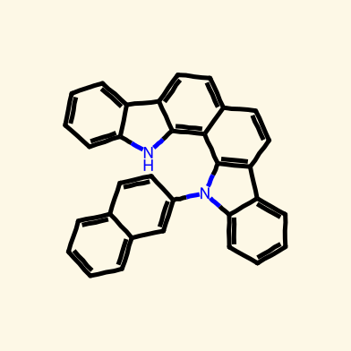 c1ccc2cc(-n3c4ccccc4c4ccc5ccc6c7ccccc7[nH]c6c5c43)ccc2c1